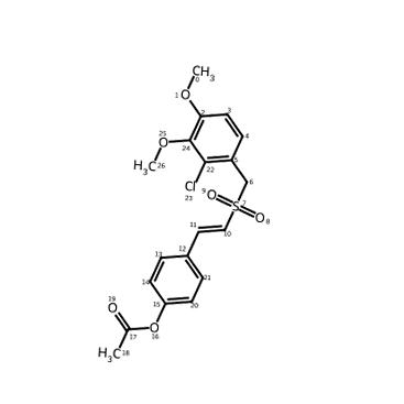 COc1ccc(CS(=O)(=O)C=Cc2ccc(OC(C)=O)cc2)c(Cl)c1OC